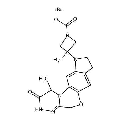 CC1C(=O)NN=C2COc3cc4c(cc3N21)N(C1(C)CN(C(=O)OC(C)(C)C)C1)CC4